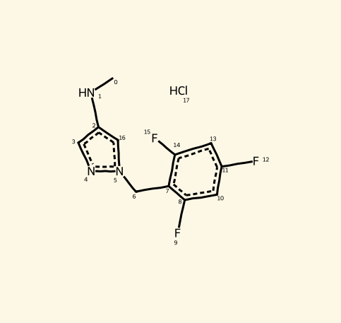 CNc1cnn(Cc2c(F)cc(F)cc2F)c1.Cl